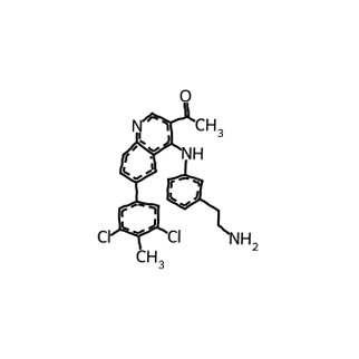 CC(=O)c1cnc2ccc(-c3cc(Cl)c(C)c(Cl)c3)cc2c1Nc1cccc(CCN)c1